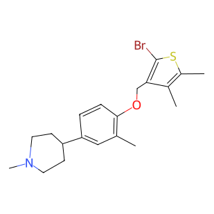 Cc1cc(C2CCN(C)CC2)ccc1OCc1c(Br)sc(C)c1C